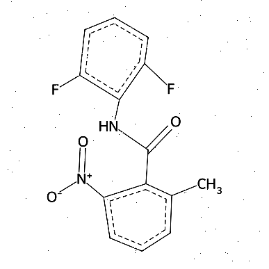 Cc1cccc([N+](=O)[O-])c1C(=O)Nc1c(F)cccc1F